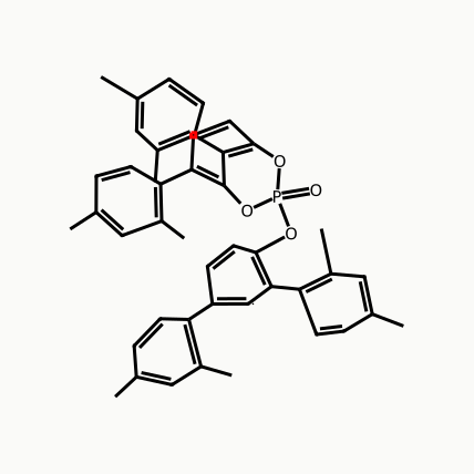 Cc1ccc(-c2[c]c(-c3ccc(C)cc3C)c(OP3(=O)Oc4ccc(-c5ccc(C)cc5C)c(c4-c4ccc(C)cc4C)O3)cc2)c(C)c1